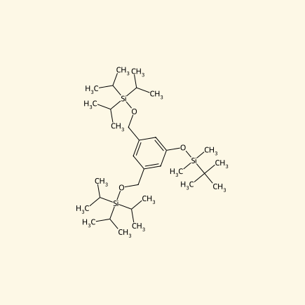 CC(C)[Si](OCc1cc(CO[Si](C(C)C)(C(C)C)C(C)C)cc(O[Si](C)(C)C(C)(C)C)c1)(C(C)C)C(C)C